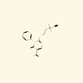 CC(C)(C#N)CCOc1ncc(C(=O)O)c(=O)n1-c1ccccc1